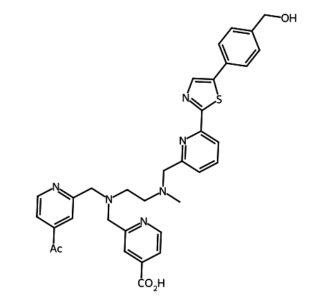 CC(=O)c1ccnc(CN(CCN(C)Cc2cccc(-c3ncc(-c4ccc(CO)cc4)s3)n2)Cc2cc(C(=O)O)ccn2)c1